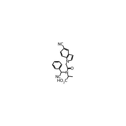 CC(C(=O)O)N(C(=O)Cn1ccc2cc(C#N)ccc21)C(C#N)c1ccccc1